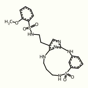 COc1ccccc1S(=O)(=O)NCCc1cnc2nc1NCCCNS(=O)(=O)c1cccc(c1)N2